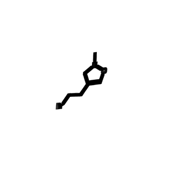 CN1CC(CCBr)=CO1